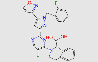 OC(O)C1c2ccccc2CCN1c1nc(-c2cc(-c3ccon3)n(Cc3ccccc3F)n2)ncc1F